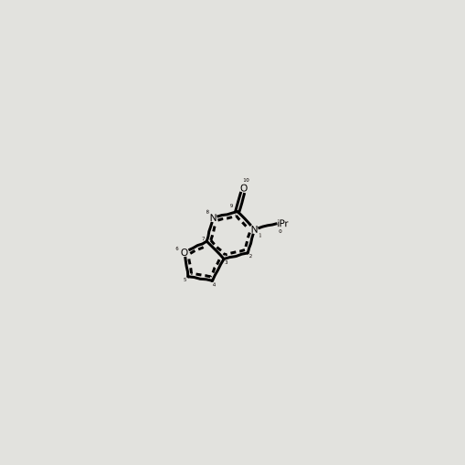 CC(C)n1cc2ccoc2nc1=O